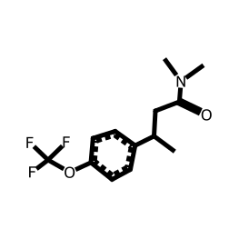 CC(CC(=O)N(C)C)c1ccc(OC(F)(F)F)cc1